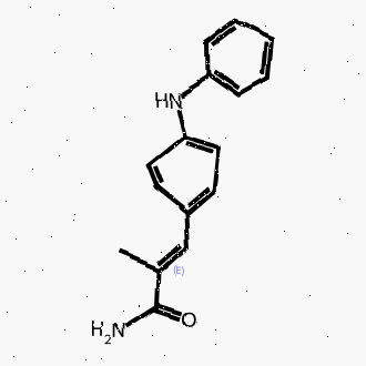 C/C(=C\c1ccc(Nc2ccccc2)cc1)C(N)=O